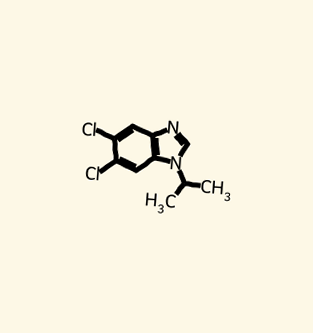 CC(C)n1cnc2cc(Cl)c(Cl)cc21